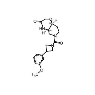 O=C1CO[C@H]2CCN(C(=O)N3CC(c4cccc(OC(F)(F)F)c4)C3)C[C@H]2N1